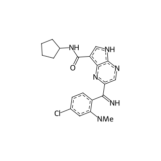 CNc1cc(Cl)ccc1C(=N)c1cnc2[nH]cc(C(=O)NC3CCCC3)c2n1